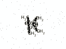 C=CCOC(=O)C=CC(=O)OCC=C.C=CCOC(=O)CC(=C)C(=O)OCC=C